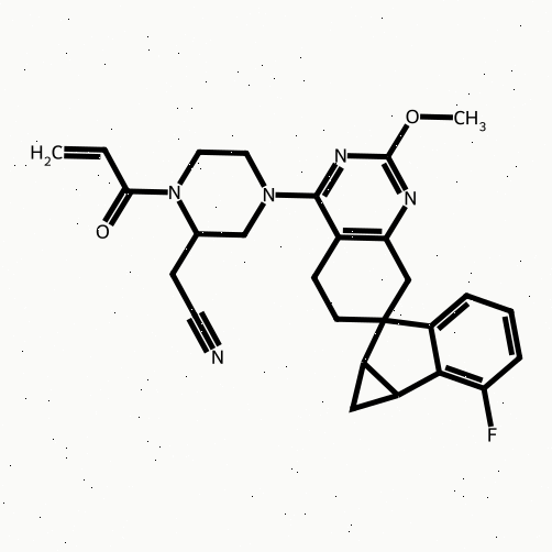 C=CC(=O)N1CCN(c2nc(OC)nc3c2CCC2(C3)c3cccc(F)c3C3CC32)CC1CC#N